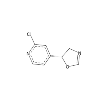 Clc1cc([C@@H]2CN=CO2)ccn1